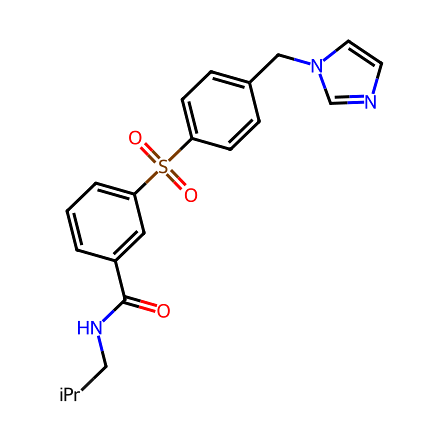 CC(C)CNC(=O)c1cccc(S(=O)(=O)c2ccc(Cn3ccnc3)cc2)c1